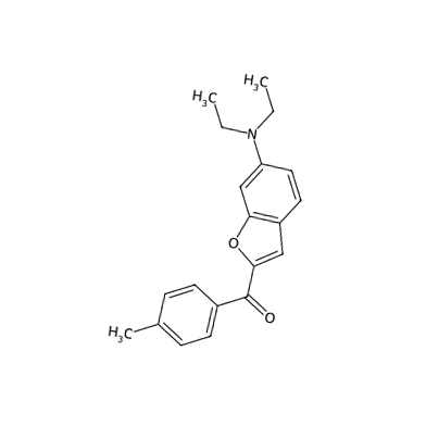 CCN(CC)c1ccc2cc(C(=O)c3ccc(C)cc3)oc2c1